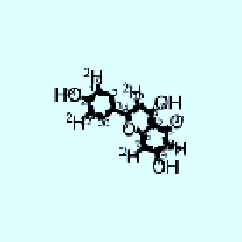 [2H]c1cc(-c2oc3c([2H])c(O)c([2H])c(=O)c-3c(O)c2[2H])cc([2H])c1O